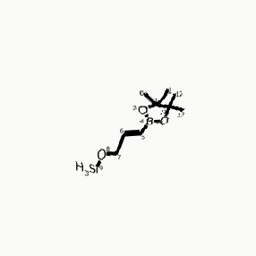 CC1(C)OB(C=CCO[SiH3])OC1(C)C